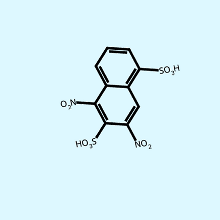 O=[N+]([O-])c1cc2c(S(=O)(=O)O)cccc2c([N+](=O)[O-])c1S(=O)(=O)O